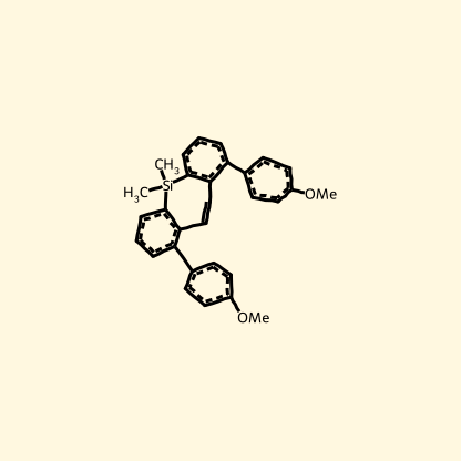 COc1ccc(-c2cccc3c2C=Cc2c(-c4ccc(OC)cc4)cccc2[Si]3(C)C)cc1